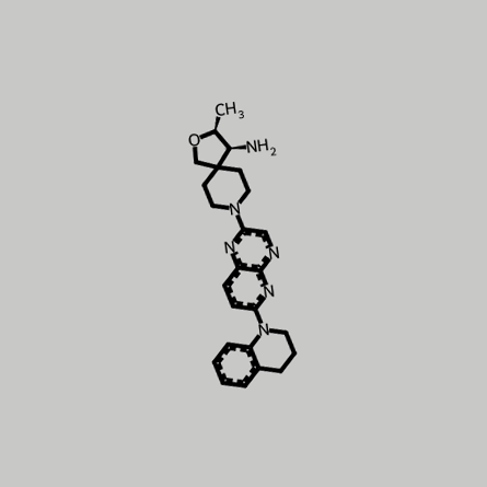 C[C@@H]1OCC2(CCN(c3cnc4nc(N5CCCc6ccccc65)ccc4n3)CC2)[C@@H]1N